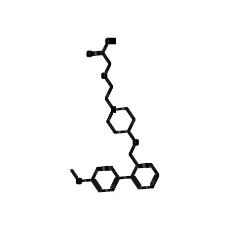 COc1ccc(-c2ccccc2COC2CCN(CCOCC(=O)O)CC2)cc1